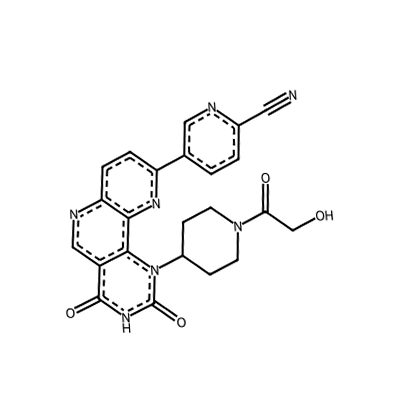 N#Cc1ccc(-c2ccc3ncc4c(=O)[nH]c(=O)n(C5CCN(C(=O)CO)CC5)c4c3n2)cn1